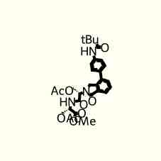 COC(=O)[C@H](COC(C)=O)NC(=O)[C@H](COC(C)=O)N1Cc2c(cccc2-c2ccc(NC(=O)C(C)(C)C)cc2)C1=O